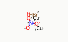 Br.O=[N+]([O-])O.[Cu].[Cu]